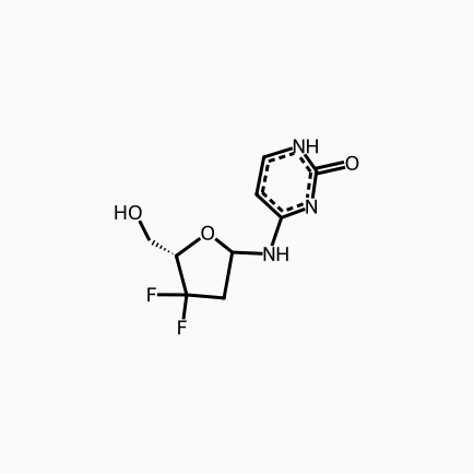 O=c1nc(NC2CC(F)(F)[C@H](CO)O2)cc[nH]1